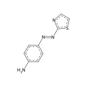 Nc1ccc(/N=N/c2nccs2)cc1